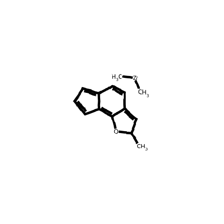 CC1C=c2ccc3c(c2O1)C=CC=3.[CH3][Zr][CH3]